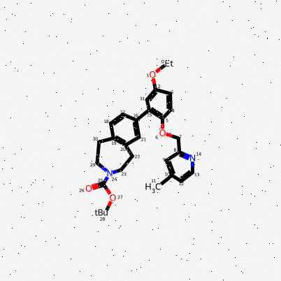 CCOc1ccc(OCc2cc(C)ccn2)c(-c2ccc3c(c2)CCN(C(=O)OC(C)(C)C)CC3)c1